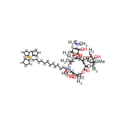 CC[C@H]1OC(=O)[C@H](C)[C@@H](C2C[C@@](C)(OC)[C@@H](O)[C@H](C)O2)[C@H](C)[C@@H](O[C@@H]2O[C@H](C)C[C@H](N(C)C)[C@H]2O)[C@](C)(O)C[C@@H](C)CN(C(=O)CCCCCCCCCCCC[PH](C2CCCC2)(C2CCCC2)C2CCCC2)[C@H](C)[C@@H](O)[C@]1(C)O